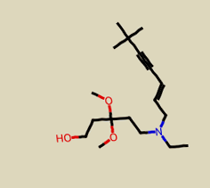 CCN(CC=CC#CC(C)(C)C)CCC(CCO)(OC)OC